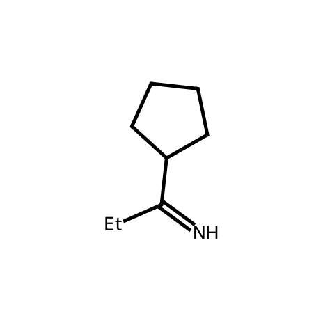 CCC(=N)C1CCCC1